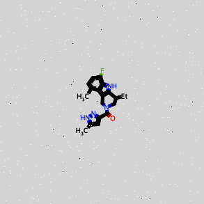 CCC1CN(C(=O)c2cc(C)[nH]n2)Cc2c1[nH]c1c(F)ccc(C)c21